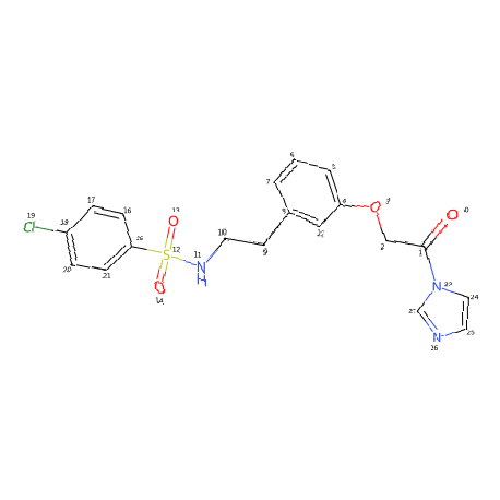 O=C(COc1cccc(CCNS(=O)(=O)c2ccc(Cl)cc2)c1)n1ccnc1